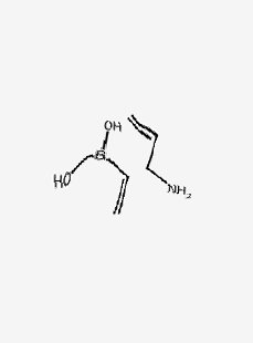 C=CB(O)O.C=CCN